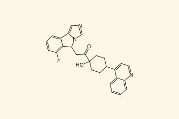 O=C(CC1c2c(F)cccc2-c2cncn21)C1(O)CCC(c2ccnc3ccccc23)CC1